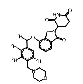 [2H]c1cc(C([2H])Oc2cccc3c2CN(C2CCC(=O)NC2=O)C3=O)c([2H])c([2H])c1CN1CCOCC1